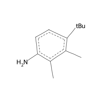 Cc1c(N)ccc(C(C)(C)C)c1C